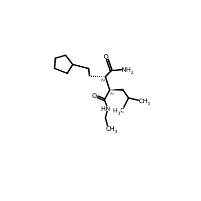 CCNC(=O)[C@H](CC(C)C)[C@H](CCC1CCCC1)C(N)=O